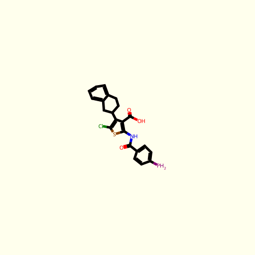 O=C(Nc1sc(Cl)c(C2CCc3ccccc3C2)c1C(=O)O)c1ccc(P)cc1